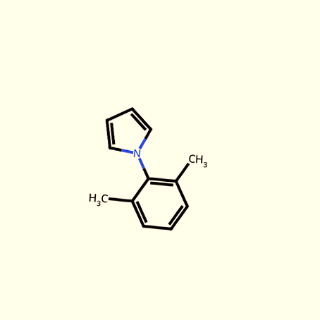 Cc1cccc(C)c1-n1cccc1